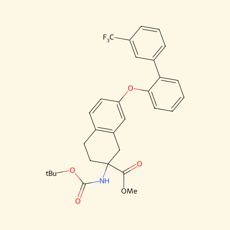 COC(=O)C1(NC(=O)OC(C)(C)C)CCc2ccc(Oc3ccccc3-c3cccc(C(F)(F)F)c3)cc2C1